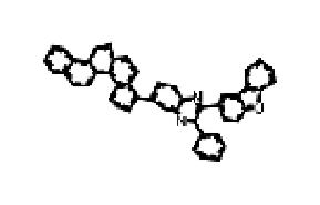 c1ccc(-c2nc3cc(-c4cccc5c4ccc4ccc6c7ccccc7ccc6c45)ccc3nc2-c2ccc3oc4ccccc4c3c2)cc1